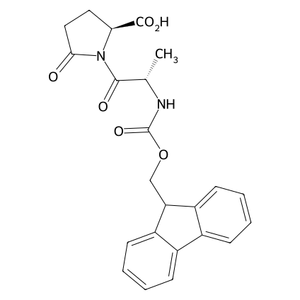 C[C@H](NC(=O)OCC1c2ccccc2-c2ccccc21)C(=O)N1C(=O)CC[C@H]1C(=O)O